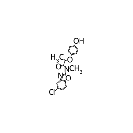 C[C@@H](Oc1ccc(O)cc1)C(=O)N(C)c1nc2cc(Cl)ccc2o1